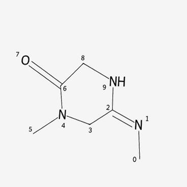 CN=C1CN(C)C(=O)CN1